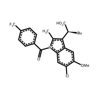 CCC(C)[C@H](C(=O)O)c1c(C)n(C(=O)c2ccc(C(F)(F)F)cc2)c2cc(Cl)c(OC)cc12